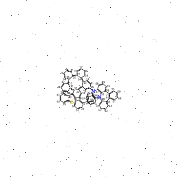 c1ccc(-c2cccc(N(c3ccc4c5ccccc5c5ccccc5c5ccccc5c5c(ccc6sc7ccccc7c65)c4c3)c3cccc4c3N(c3ccccc3)c3ccccc3-c3ccccc3-4)c2)cc1